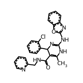 CC1=C(C(=O)NCc2ccccn2)C(c2ccccc2Cl)N=C(Nc2nc3ccccc3o2)N1